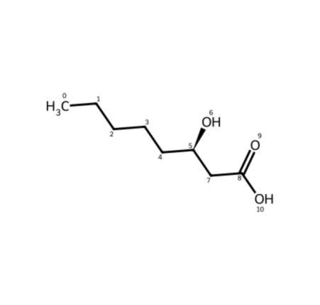 CCCCC[C@@H](O)CC(=O)O